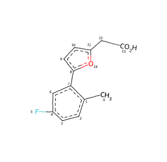 Cc1ccc(F)cc1-c1ccc(CC(=O)O)o1